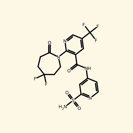 NS(=O)(=O)c1cc(NC(=O)c2cc(C(F)(F)F)cnc2N2CCC(F)(F)CCC2=O)ccn1